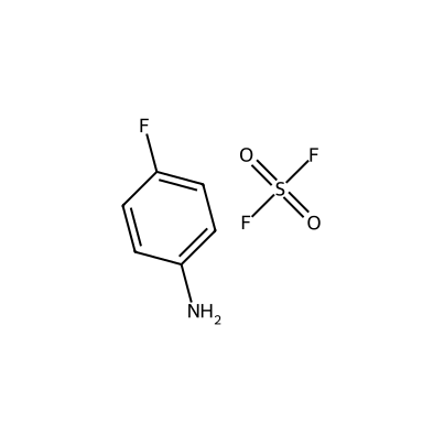 Nc1ccc(F)cc1.O=S(=O)(F)F